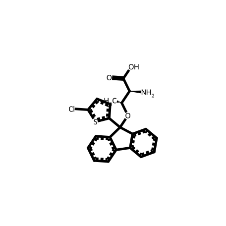 C[C@@H](OC1(c2ccc(Cl)s2)c2ccccc2-c2ccccc21)[C@H](N)C(=O)O